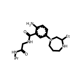 CCC1CN(c2ccc(N)c(C(=O)NCC(=O)NC(C)C)c2)CCCN1